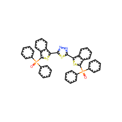 O=P(c1ccccc1)(c1ccccc1)c1sc(-c2nnc(-c3sc(P(=O)(c4ccccc4)c4ccccc4)c4ccccc34)s2)c2ccccc12